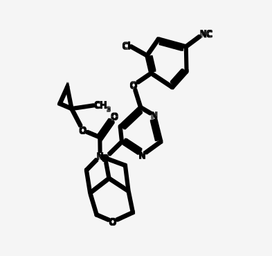 [C-]#[N+]c1ccc(Oc2cc(OC3C4COCC3CN(C(=O)OC3(C)CC3)C4)ncn2)c(Cl)c1